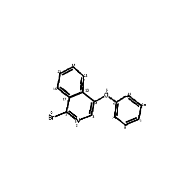 Brc1ncc(Oc2ccccc2)c2ccccc12